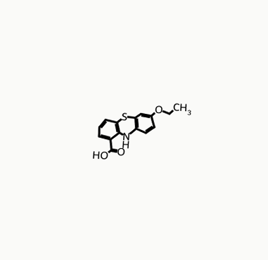 CCOc1ccc2c(c1)Sc1cccc(C(=O)O)c1N2